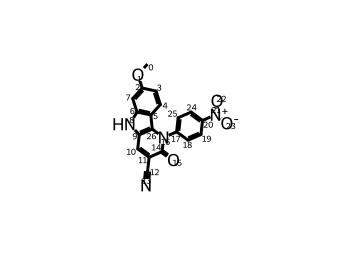 COc1ccc2c(c1)[nH]c1cc(C#N)c(=O)n(-c3ccc([N+](=O)[O-])cc3)c12